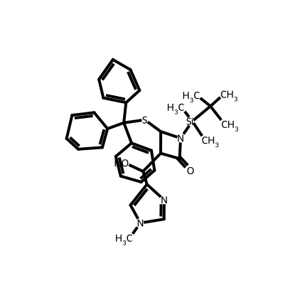 Cn1cnc(C(O)C2C(=O)N([Si](C)(C)C(C)(C)C)C2SC(c2ccccc2)(c2ccccc2)c2ccccc2)c1